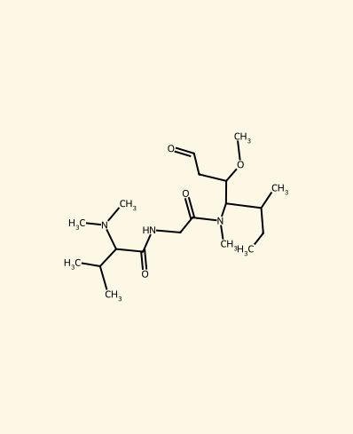 CCC(C)C(C(CC=O)OC)N(C)C(=O)CNC(=O)C(C(C)C)N(C)C